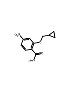 COC(=O)c1ccc([N+](=O)[O-])cc1OCC1CC1